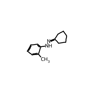 Cc1ccccc1NN=C1CCCCC1